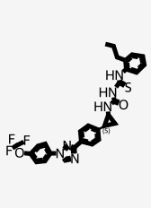 CCCc1ccccc1NC(=S)NC(=O)NC1C[C@H]1c1ccc(-c2ncn(-c3ccc(OC(F)(F)F)cc3)n2)cc1